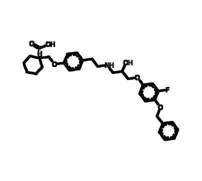 O=[PH](O)C1(COc2ccc(CCNCC(O)COc3ccc(OCc4ccccc4)c(F)c3)cc2)CCCCC1